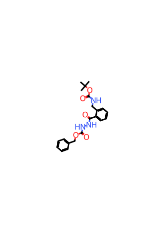 CC(C)(C)OC(=O)NCc1ccccc1C(=O)NNC(=O)OCc1ccccc1